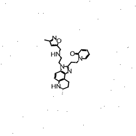 Cc1cc(CNCCn2c(CCn3ccccc3=O)nc3c4c(ccc32)N[C@@H](C)CC4)on1